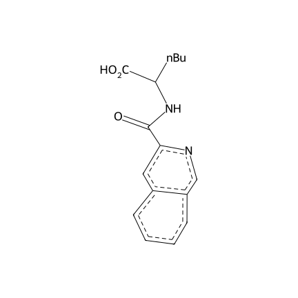 CCCCC(NC(=O)c1cc2ccccc2cn1)C(=O)O